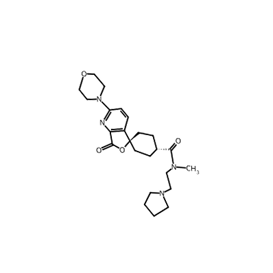 CN(CCN1CCCC1)C(=O)[C@H]1CC[C@@]2(CC1)OC(=O)c1nc(N3CCOCC3)ccc12